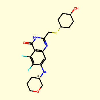 O=c1[nH]c(CS[C@H]2CC[C@H](O)CC2)nc2cc(N[C@@H]3CCCOC3)c(F)c(F)c12